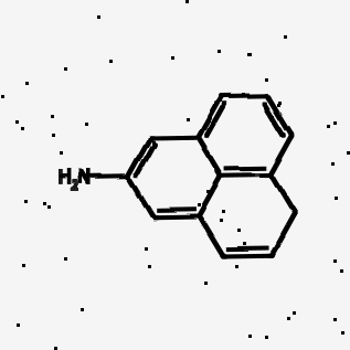 Nc1cc2c3c(cccc3c1)CC=C2